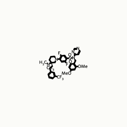 COc1ccc(CN(c2ccncn2)S(=O)(=O)c2cc(F)c(N3CCC[C@@](CCc4cccc(C(F)(F)F)c4)(N(C)C)C3)cc2F)c(OC)c1